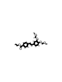 CCOC(=O)c1ccc(/C=C/c2ccc(OCOC)c(OCOC)c2)cc1